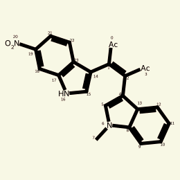 CC(=O)/C(=C(\C(C)=O)c1cn(C)c2ccccc12)c1c[nH]c2cc([N+](=O)[O-])ccc12